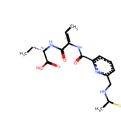 C/C=C(\NC(=O)c1cccc(CNC(C)S)n1)C(=O)N[C@@H](CC)C(=O)O